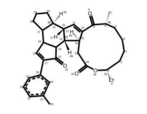 CC[C@H]1CCCC[C@@H](C)C(=O)C2=C[C@@H]3[C@@H](C4C(=O)C(c5cccc(C)c5)=CC4C4CCC[C@H]43)[C@@H]2CC(=O)O1